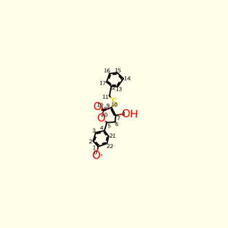 [O]c1ccc(C2CC(O)=C(SCc3ccccc3)C(=O)O2)cc1